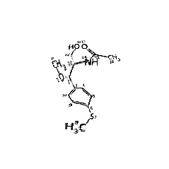 CO[C@@H](c1ccc(SC)cc1)[C@H](CO)NC(C)=O